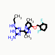 CCCNC1N=C(c2c(C)nc3c(OCc4c(F)cccc4F)cc(C)cn23)N=C(N)N1